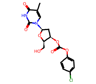 Cc1cn([C@H]2C[C@@H](OC(=O)Oc3ccc(Cl)cc3)[C@@H](CO)O2)c(=O)[nH]c1=O